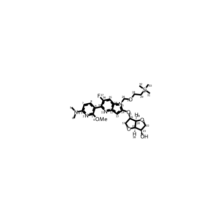 COc1nc(N(C)C)ccc1-c1nc2cc(O[C@@H]3CO[C@H]4[C@@H]3OC[C@H]4O)n(COCC[Si](C)(C)C)c2cc1F